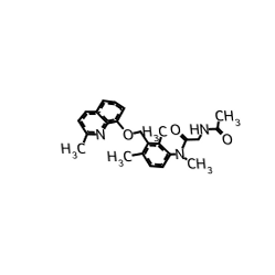 CC(=O)NCC(=O)N(C)c1ccc(C)c(COc2cccc3ccc(C)nc23)c1C